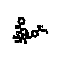 CCO[C@](OC(C)=O)(C(=O)NCc1ccc(C(=N)N)cc1)n1cccc(Nc2cccnc2)c1=O